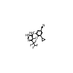 Cc1cc(C#N)cc(C2CC2)c1Oc1c(C(F)(F)C(F)F)nc[nH]c1=O